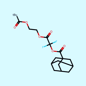 CC(C)(C)C(=O)OCCOC(=O)C(F)(F)OC(=O)C12CC3CC(CC(C3)C1)C2